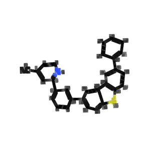 N#Cc1ccnc(-c2cccc(-c3ccc4sc5ccc(-c6ccccc6)cc5c4c3)c2)c1